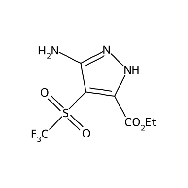 CCOC(=O)c1[nH]nc(N)c1S(=O)(=O)C(F)(F)F